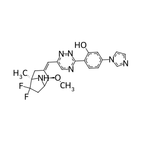 CO[C@@H]1/C(=C\c2cnc(-c3ccc(-n4ccnc4)cc3O)nn2)C[C@@]2(C)NC1CC2(F)F